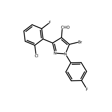 O=Cc1c(-c2c(F)cccc2Cl)nn(-c2ccc(F)cc2)c1Br